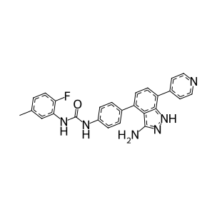 Cc1ccc(F)c(NC(=O)Nc2ccc(-c3ccc(-c4ccncc4)c4[nH]nc(N)c34)cc2)c1